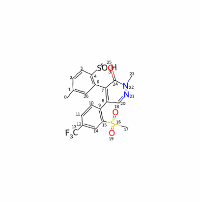 Cc1ccc(S(=O)(=O)O)c(-c2c(-c3ccc(C(F)(F)F)cc3S(C)(=O)=O)cnn(C)c2=O)c1